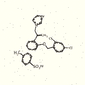 C=C(Cn1ccnc1)c1ccccc1OCc1ccc(Cl)cc1Cl.Cc1ccc(S(=O)(=O)O)cc1